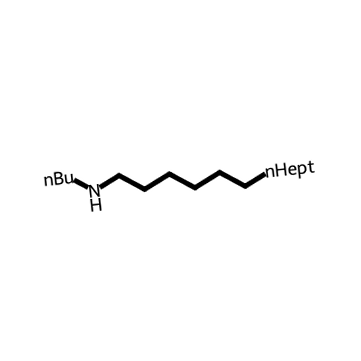 CCCCCCCCCCCCCNCCCC